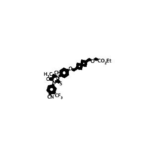 CCOC(=O)COCC1CC2(C1)CC(COc1ccc(N3C(=S)N(c4ccc(C#N)c(C(F)(F)F)c4)C(=O)C3(C)C)cc1)C2